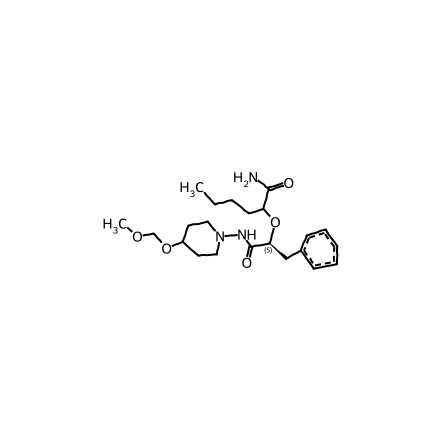 CCCCC(O[C@@H](Cc1ccccc1)C(=O)NN1CCC(OCOC)CC1)C(N)=O